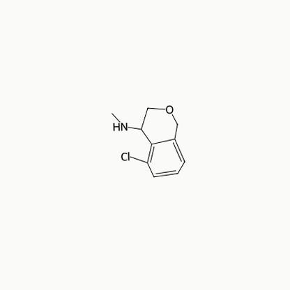 CNC1COCc2cccc(Cl)c21